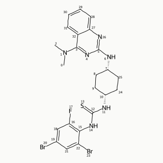 CN(C)c1nc(N[C@H]2CC[C@@H](NC(=S)Nc3c(F)cc(Br)cc3Br)CC2)nc2ccccc12